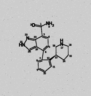 NC(=O)c1ccc(-c2ccccc2[C@@H]2CCCNC2)c2c[nH]nc12